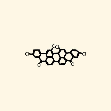 O=C1c2cc(Cl)ccc2-c2cc(Cl)c3c4c(Cl)cc5c6c(ccc(c7ccc1c2c73)c64)C(=O)c1cc(Cl)ccc1-5